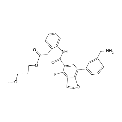 COCCCOC(=O)Cc1ccccc1NC(=O)c1cc(-c2cccc(CN)c2)c2occc2c1F